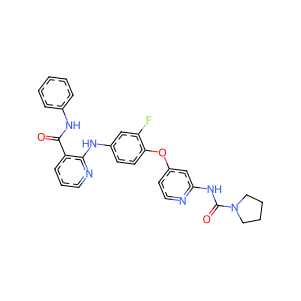 O=C(Nc1ccccc1)c1cccnc1Nc1ccc(Oc2ccnc(NC(=O)N3CCCC3)c2)c(F)c1